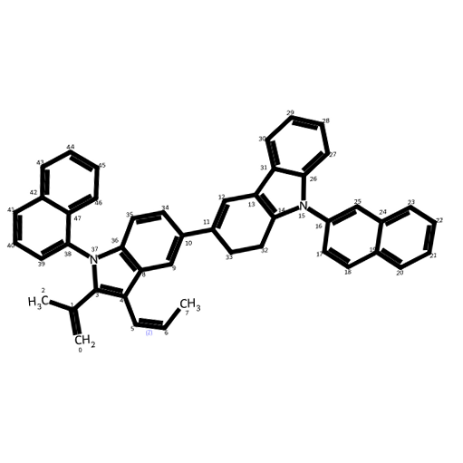 C=C(C)c1c(/C=C\C)c2cc(C3=Cc4c(n(-c5ccc6ccccc6c5)c5ccccc45)CC3)ccc2n1-c1cccc2ccccc12